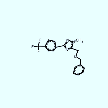 Cn1nc(-c2ccc(C(F)(F)F)cc2)nc1COCc1ccccc1